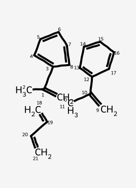 C=C(C)c1ccccc1.C=C(C)c1ccccc1.C=CC=C